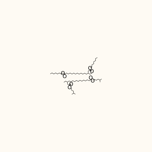 CCC(CCCCCCCCCCCCC(=O)OCCCC(C)C)CC(=O)OCCCC(C)C.CCCCCCCOC(=O)CCCCCCCCCCCCC(CC)CC(=O)OCCCCCCC